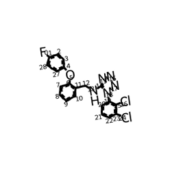 Fc1ccc(Oc2ccccc2CNc2nnnn2-c2cccc(Cl)c2Cl)cc1